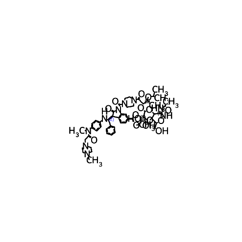 COC(=O)c1ccc2c(c1)N(C(=O)N1CCN(C(=O)C(OC(OC3C(O)C(CO)ON[C@H]3NC(C)=O)[C@@H](O)CO)[C@H](C)OC(C)C)CC1)C(=O)/C2=C(\Nc1ccc(N(C)C(=O)CN2CCN(C)CC2)cc1)c1ccccc1